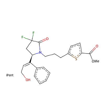 CCC[C@H](C)C(O)/C=C(\c1ccccc1)[C@H]1CC(F)(F)C(=O)N1CCCc1ccc(C(=O)OC)s1